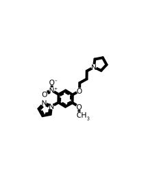 COc1cc(-n2cccn2)c([N+](=O)[O-])cc1OCCCN1CCCC1